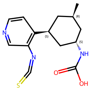 C[C@H]1C[C@H](NC(=O)O)C[C@@H](c2ccncc2N=C=S)C1